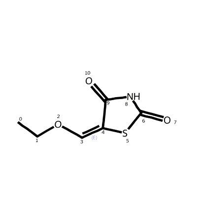 CCO/C=C1/SC(=O)NC1=O